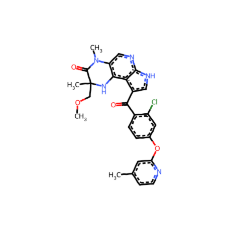 COCC1(C)Nc2c(cnc3[nH]cc(C(=O)c4ccc(Oc5cc(C)ccn5)cc4Cl)c23)N(C)C1=O